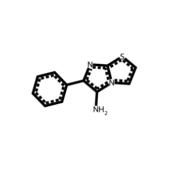 Nc1c(-c2ccccc2)nc2sccn12